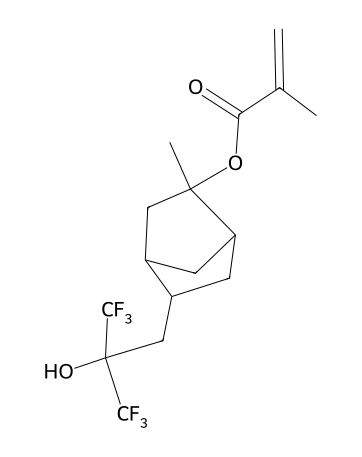 C=C(C)C(=O)OC1(C)CC2CC1CC2CC(O)(C(F)(F)F)C(F)(F)F